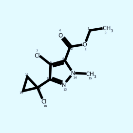 CCOC(=O)c1c(Cl)c(C2(Cl)CC2)nn1C